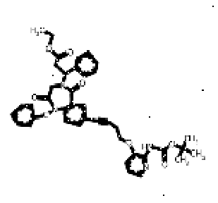 CCOC(=O)CC(c1ccccc1)N1CC(=O)N(Cc2ccccc2)c2ccc(C#CCCOc3cccnc3NC(=O)OC(C)(C)C)cc2C1=O